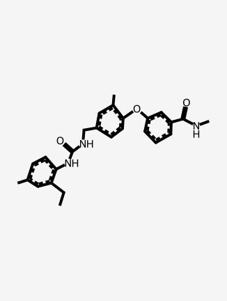 CCc1cc(C)ccc1NC(=O)NCc1ccc(Oc2cccc(C(=O)NC)c2)c(C)c1